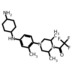 Cc1cc(NC2CCC(N)CC2)ccc1N1CC(C)N(C(=O)C(F)(F)F)C(C)C1